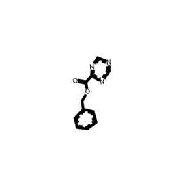 O=C(OCc1ccccc1)c1ncncn1